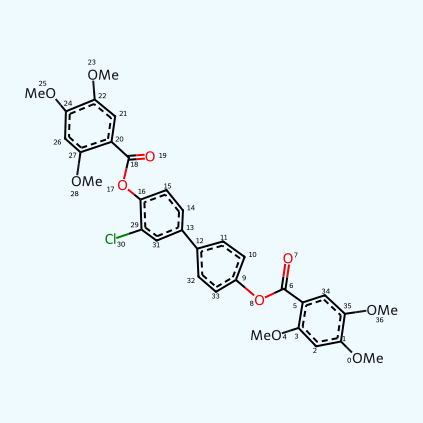 COc1cc(OC)c(C(=O)Oc2ccc(-c3ccc(OC(=O)c4cc(OC)c(OC)cc4OC)c(Cl)c3)cc2)cc1OC